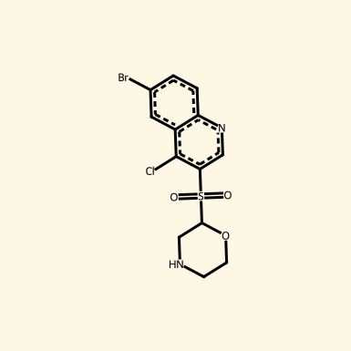 O=S(=O)(c1cnc2ccc(Br)cc2c1Cl)C1CNCCO1